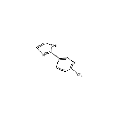 FC(F)(F)c1ccc(-c2ncc[nH]2)cn1